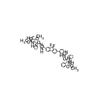 COC(=O)NC(C(=O)N1CCC[C@H]1c1ncc(-c2ccc3c(c2)C(F)(F)c2cc(-c4ccc5nc([C@@H]6C7CC[C@H](C7)N6C(=O)[C@H](NC(=O)OC)c6ccccc6)[nH]c5c4)ccc2-3)[nH]1)[C@@H](C)OC